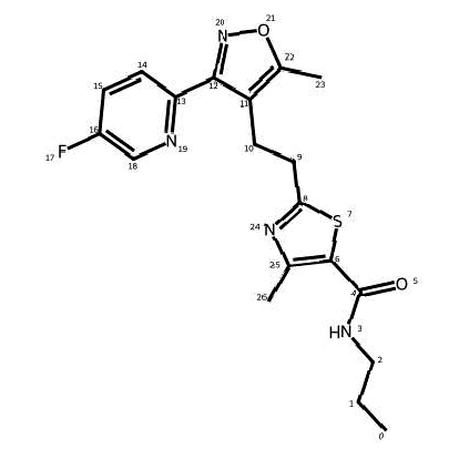 CCCNC(=O)c1sc(CCc2c(-c3ccc(F)cn3)noc2C)nc1C